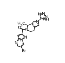 CC1c2cn(-c3nnn[nH]3)cc2CCN1C(=O)c1cc2ncc(Br)cn2n1